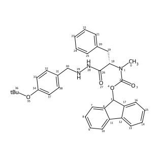 CN(C(=O)OC1c2ccccc2-c2ccccc21)[C@@H](Cc1ccccc1)C(=O)NNCc1ccc(OC(C)(C)C)cc1